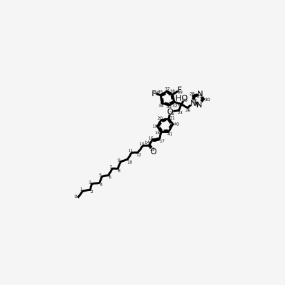 CCCCCCCCCCCCCCC(=O)C=Cc1ccc(OCC(O)(Cn2cncn2)c2ccc(F)cc2F)cc1